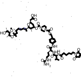 CO[C@@H]([C@@H](C)O)[C@@H](C)OC(C)(C)C[C@H](C)/C=C/C=C(\C)[C@H]1O[C@@H](CC(=O)O)C[C@@H](OC(=O)N2CCN(C(=O)OCc3ccc(NC(=O)[C@H](CCCNC(N)=O)NC(=O)[C@@H](NC(=O)CCCCCN4C(=O)C=CC4=O)C(C)C)cc3)CC2)[C@@H]1C